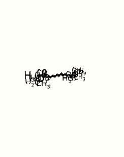 CC1(C)CCC(C(=O)OCCCCCCCCCCOC(=O)C2CC(C)(C)NC2(C)C)CC(C)(C)N1